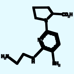 NCCNc1nc(N2CCCC2C(=O)O)ccc1N